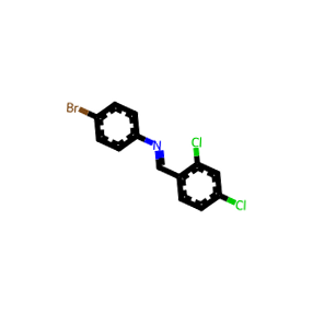 Clc1ccc(C=Nc2ccc(Br)cc2)c(Cl)c1